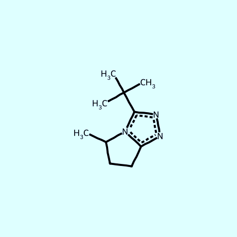 CC1CCc2nnc(C(C)(C)C)n21